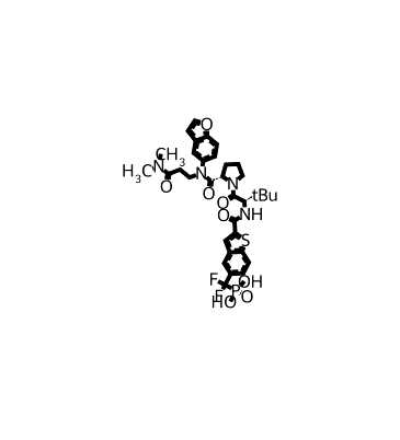 CN(C)C(=O)CCN(C(=O)[C@@H]1CCCN1C(=O)[C@@H](NC(=O)c1cc2cc(C(F)(F)P(=O)(O)O)ccc2s1)C(C)(C)C)c1ccc2occc2c1